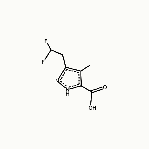 Cc1c(CC(F)F)n[nH]c1C(=O)O